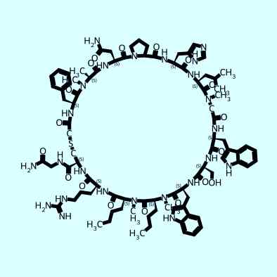 CCCC[C@H]1C(=O)N(C)[C@@H](CCCC)C(=O)N[C@@H](CCCNC(=N)N)C(=O)N[C@@H](C(=O)NCC(N)=O)CSCC(=O)N[C@@H](Cc2ccccc2)C(=O)N(C)[C@@H](C)C(=O)N[C@@H](CC(N)=O)C(=O)N2CCCC2C(=O)N[C@@H](Cc2cnc[nH]2)C(=O)N[C@@H](CC(C)C)C(=O)N(C)CC(=O)N[C@@H](Cc2c[nH]c3ccccc23)C(=O)N[C@@H](CO)C(=O)N[C@@H](Cc2c[nH]c3ccccc23)C(=O)N1C